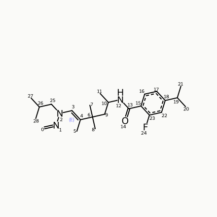 C=NN(/C=C(\C)C(C)(C)CC(C)NC(=O)c1ccc(C(C)C)cc1F)CC(C)C